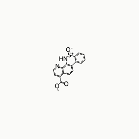 COC(=O)c1ccnc2c3c(ccc12)-c1ccccc1[S+]([O-])N3